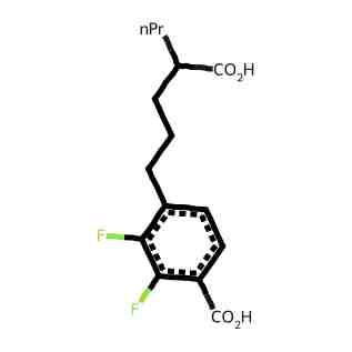 CCCC(CCCc1ccc(C(=O)O)c(F)c1F)C(=O)O